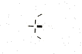 CCCCCCCCOP(=O)(O)OCCCCCCCC.[MgH2]